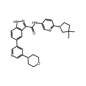 CC1(F)CCN(c2ccc(NC(=O)c3n[nH]c4ccc(-c5cncc(N6CCOCC6)c5)cc34)cn2)C1